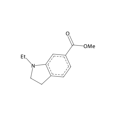 CCN1CCc2ccc(C(=O)OC)cc21